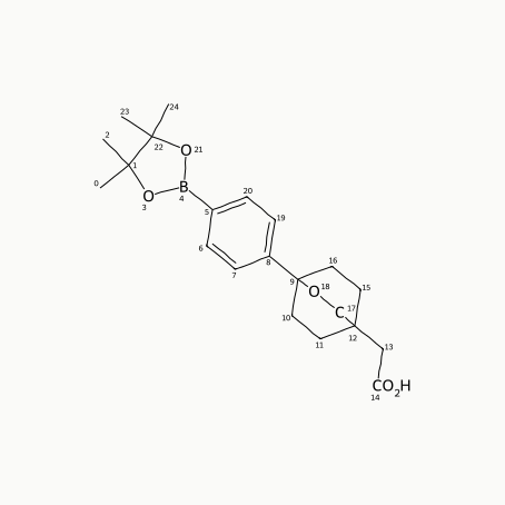 CC1(C)OB(c2ccc(C34CCC(CC(=O)O)(CC3)CO4)cc2)OC1(C)C